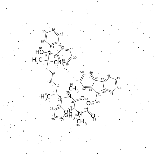 C[C@H](CCCCC(C)(C)[Si](O)(c1ccccc1)c1ccccc1)[C@@H](c1ccco1)N(C)C(=O)[C@@H](C)N(C)C(=O)OCC1c2ccccc2-c2ccccc21